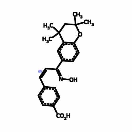 CC1(C)CC(C)(C)c2cc(C(/C=C\c3ccc(C(=O)O)cc3)=NO)ccc2O1